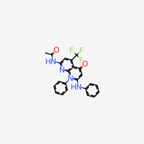 CC(=O)Nc1cc(C(F)(F)F)c2c(=O)cc(Nc3ccccc3)n(-c3ccccc3)c2n1